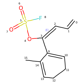 C=C/C=C(/OS(=O)(=O)F)C1=CCCC=C1C